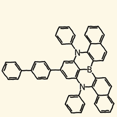 c1ccc(-c2ccc(-c3cc4c5c(c3)N(c3ccccc3)c3c(ccc6ccccc36)B5c3ccc5ccccc5c3N4c3ccccc3)cc2)cc1